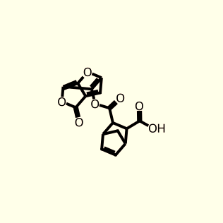 O=C1Oc2c(OC(=O)C3C4C=CC(C4)C3C(=O)O)c3cc1c2o3